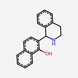 Oc1c(C2NCCc3ccccc32)ccc2ccccc12